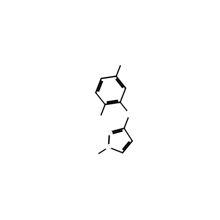 Cn1[c]cc(Oc2cc(F)ccc2F)n1